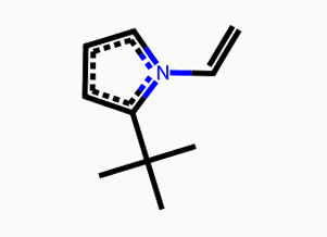 C=Cn1cccc1C(C)(C)C